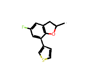 [CH2]C1Cc2cc(F)cc(-c3ccsc3)c2O1